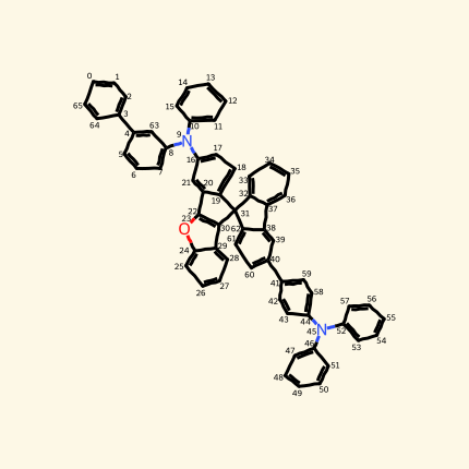 c1ccc(-c2cccc(N(c3ccccc3)c3ccc4c(c3)-c3oc5ccccc5c3C43c4ccccc4-c4cc(-c5ccc(N(c6ccccc6)c6ccccc6)cc5)ccc43)c2)cc1